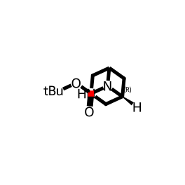 CC(C)(C)OC(=O)N1C2CNC[C@H]1C2